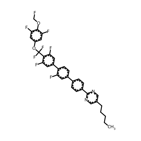 CCCCCc1cnc(-c2ccc(-c3ccc(-c4cc(F)c(C(F)(F)Oc5cc(F)c(OCF)c(F)c5)c(F)c4)c(F)c3)cc2)nc1